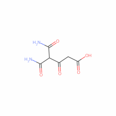 NC(=O)C(C(N)=O)C(=O)CC(=O)O